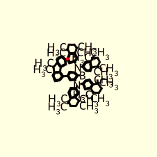 CC1(C)CCC(C)(C)c2cc(N3c4cc5c(cc4B4c6cc7c(cc6N(c6ccc8c(c6)C(C)(C)CCC8(C)C)c6cc(-c8cccc9c8-c8ccccc8C9(C)C)cc3c64)C(C)(C)CCC7(C)C)C(C)(C)CCC5(C)C)ccc21